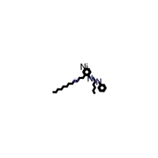 CCCCCCCC/C=C/CCc1ccccc1/N=C/C(CCCC)=N/c1ccccc1.[Ni]